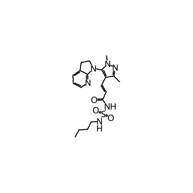 CCCCNS(=O)(=O)NC(=O)C=Cc1c(C)nn(C)c1N1CCc2cccnc21